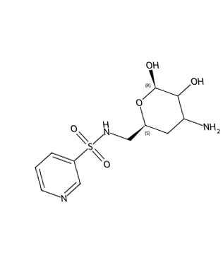 NC1C[C@@H](CNS(=O)(=O)c2cccnc2)O[C@@H](O)C1O